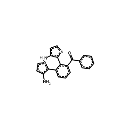 Nc1ccsc1-c1cccc(C(=O)c2ccccc2)c1-c1sccc1N